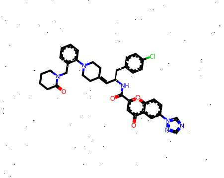 O=C(N[C@@H](C=C1CCN(c2ccccc2CN2CCCCC2=O)CC1)Cc1ccc(Cl)cc1)c1cc(=O)c2cc(-n3cncn3)ccc2o1